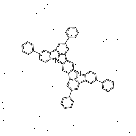 c1ccc(-c2ccc3c(c2)c2cc(-c4ccccc4)cc4c5cc6c(cc5n3c24)c2cc(-c3ccccc3)cc3c4cc(-c5ccccc5)ccc4n6c32)cc1